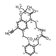 C#Cc1cc2c(cc1CC(=O)O)N(CCNC(=O)OCc1ccccc1)C(=O)C(C)(C)O2